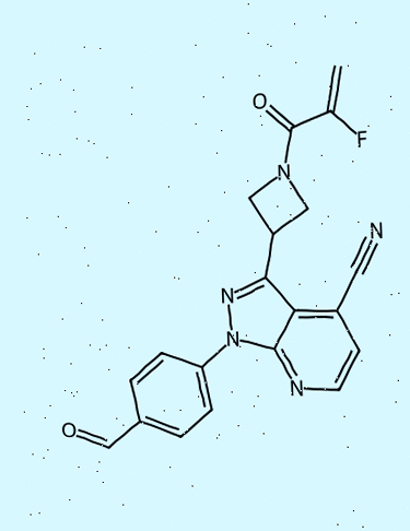 C=C(F)C(=O)N1CC(c2nn(-c3ccc(C=O)cc3)c3nccc(C#N)c23)C1